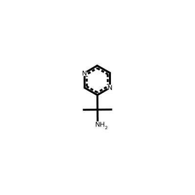 CC(C)(N)c1cnccn1